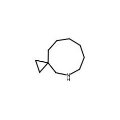 C1CCCC2(CC2)CNCC1